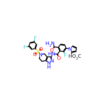 NC(=O)c1ccc(-n2cccc2C(=O)O)c(F)c1C(=O)Nc1n[nH]c2c1CN(S(=O)(=O)c1cc(F)cc(F)c1)CC2